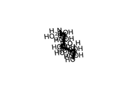 C[C@H]1[C@H]([C@H](O)[C@H](O)COC2(C(=O)O)C[C@@H](O)[C@@H](C)[C@H]([C@H](O)[C@H](O)COC3(C(=O)O)CC(O)[C@@H](C)[C@H]([C@H](O)[C@H](O)CO)O3)O2)OC(OCN)(C(=O)O)C[C@H]1O